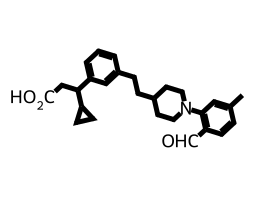 Cc1ccc(C=O)c(N2CCC(CCc3cccc(C(CC(=O)O)C4CC4)c3)CC2)c1